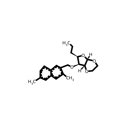 CCC[C@H]1O[C@@H]2OCCO[C@@H]2[C@H]1OCc1cc2ccc(C)cc2cc1C